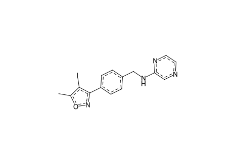 Cc1onc(-c2ccc(CNc3cnccn3)cc2)c1I